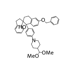 COC(OC)C1CCN(c2ccc(C3(O)c4ccc(OCc5ccccc5)cc4CCC34CCc3ccccc34)cc2)CC1